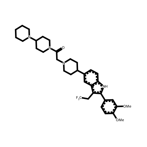 COc1ccc(-c2[nH]c3ccc(C4CCN(CC(=O)N5CCC(N6CCCCC6)CC5)CC4)cc3c2CC(F)(F)F)cc1OC